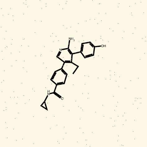 CCc1c(-c2ccc(C(=O)NC3CC3)cc2)cnc(N)c1-c1ccc(O)cc1